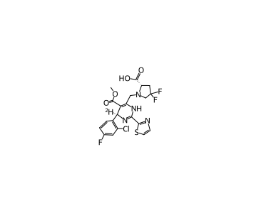 [2H][C@@]1(c2ccc(F)cc2Cl)N=C(c2nccs2)NC(CN2CC(F)(F)C[C@H]2C(=O)O)=C1C(=O)OC